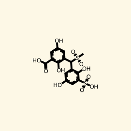 CS(=O)(=O)C(c1cc(O)cc(C(=O)O)c1O)c1cc(O)cc(S(=O)(=O)O)c1O